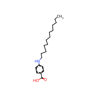 CCCCCCCCCCCCCNc1ccc(C(=O)O)cc1